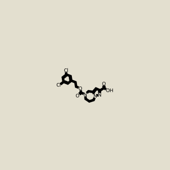 O=C(O)c1cc2n(n1)CCCN(C(=O)OCCc1cc(Cl)cc(Cl)c1)C2